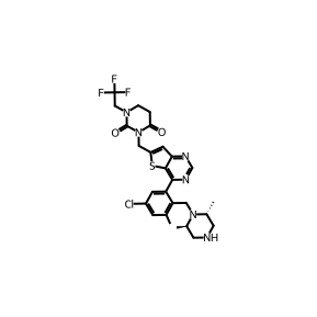 Cc1cc(Cl)cc(-c2ncnc3cc(CN4C(=O)CCN(CC(F)(F)F)C4=O)sc23)c1CN1[C@H](C)CNC[C@H]1C